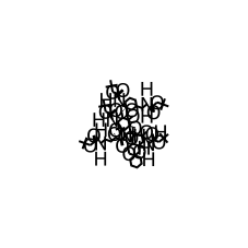 CC(C)(C)OC(=O)NCC[C@H](O)C(=O)N[C@@H]1C(O)[C@@H](NC(=O)OC(C)(C)C)C(O[C@H]2OC(CNC(=O)OC(C)(C)C)CCC2NC(=O)OC(C)(C)C)C(O)[C@H]1O[C@H]1OC2COC3(CCCCC3)O[C@H]2[C@H](NC(=O)OC(C)(C)C)C1O